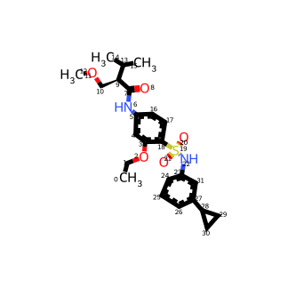 CCOc1cc(NC(=O)[C@@H](COC)C(C)C)ccc1S(=O)(=O)Nc1cccc(C2CC2)c1